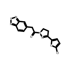 O=C(Cc1ccc2nsnc2c1)N1CCC(c2ccc(Cl)o2)=N1